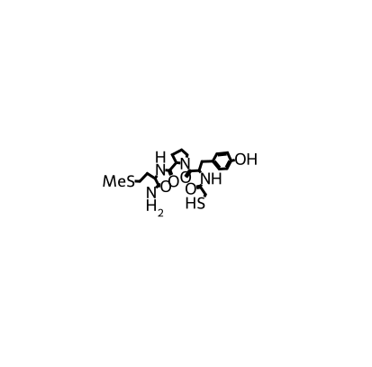 CSCCC(NC(=O)C1CCCN1C(=O)C(Cc1ccc(O)cc1)NC(=O)CS)C(N)=O